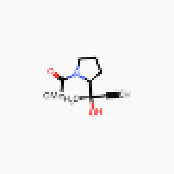 C#C[C@](C)(O)[C@@H]1CCCN1C(=O)OC